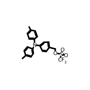 Cc1ccc(N(c2ccc(C)cc2)c2ccc(COS(=O)(=O)C(F)(F)F)cc2)cc1